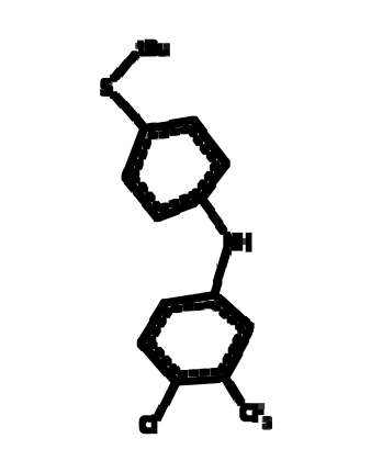 CC(C)(C)Sc1ccc(Nc2ccc(Cl)c(C(F)(F)F)c2)cc1